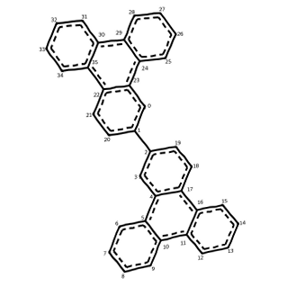 [c]1c(-c2[c]c3c4ccccc4c4ccccc4c3cc2)ccc2c1c1ccccc1c1ccccc21